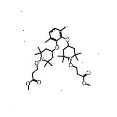 [CH2]c1ccc([CH2])c(OC2CC(C)(C)N(OCCC(=O)OC)C(C)(C)C2)c1OC1CC(C)(C)N(OCCC(=O)OC)C(C)(C)C1